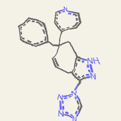 C1=CC(c2ccccc2)(c2ccncc2)Cc2[nH]nc(-n3cnnn3)c21